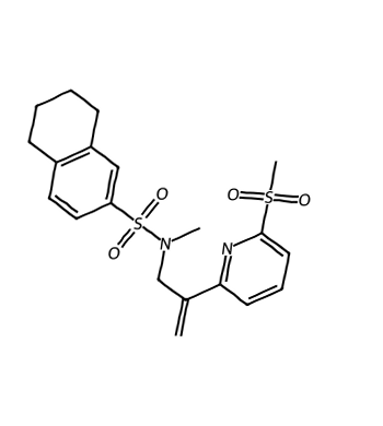 C=C(CN(C)S(=O)(=O)c1ccc2c(c1)CCCC2)c1cccc(S(C)(=O)=O)n1